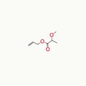 C=CCOC(=O)C(C)OC